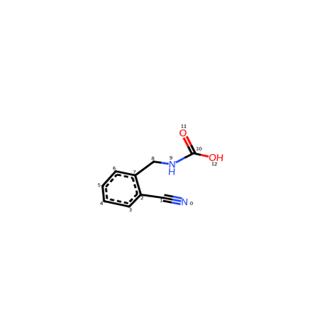 N#Cc1ccccc1CNC(=O)O